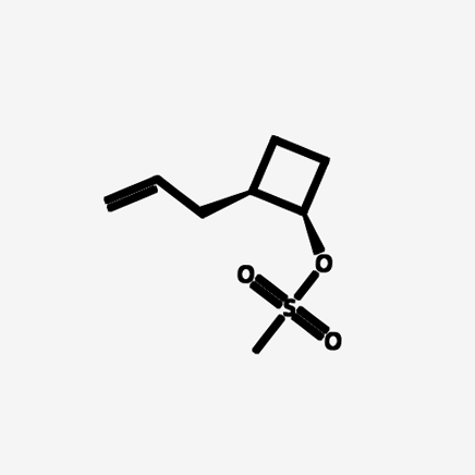 C=CC[C@H]1CC[C@H]1OS(C)(=O)=O